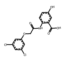 O=C(COc1cc(Cl)cc(Cl)c1)Nc1ccc(O)cc1C(=O)O